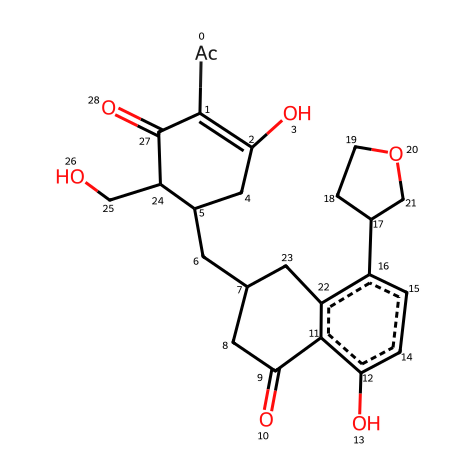 CC(=O)C1=C(O)CC(CC2CC(=O)c3c(O)ccc(C4CCOC4)c3C2)C(CO)C1=O